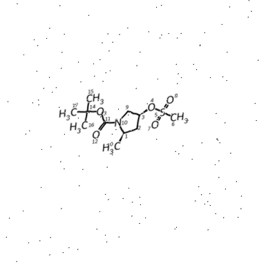 C[C@@H]1C[C@H](OS(C)(=O)=O)CN1C(=O)OC(C)(C)C